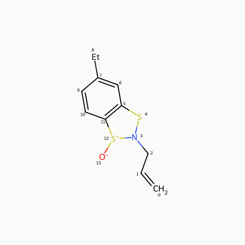 C=CCN1Sc2cc(CC)ccc2[S+]1[O-]